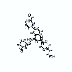 C/C=C\C(=C/NC=O)c1ccc2nc(N3CCN(CCO)CC3)nc(NCc3cccc(Cl)c3)c2c1